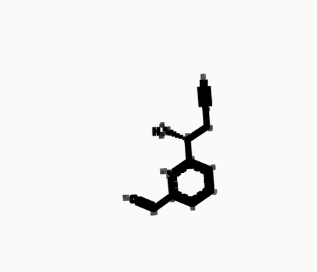 N#CC[C@@H](N)c1cccc(C=O)n1